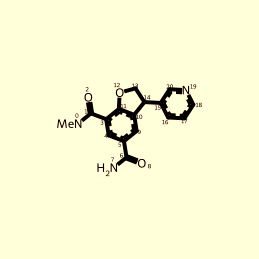 CNC(=O)c1cc(C(N)=O)cc2c1OCC2c1cccnc1